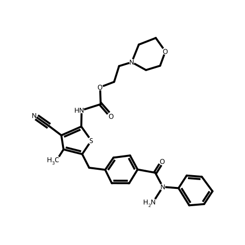 Cc1c(Cc2ccc(C(=O)N(N)c3ccccc3)cc2)sc(NC(=O)OCCN2CCOCC2)c1C#N